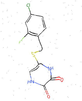 O=c1[nH]cc(SCc2ccc(Cl)cc2F)[nH]c1=O